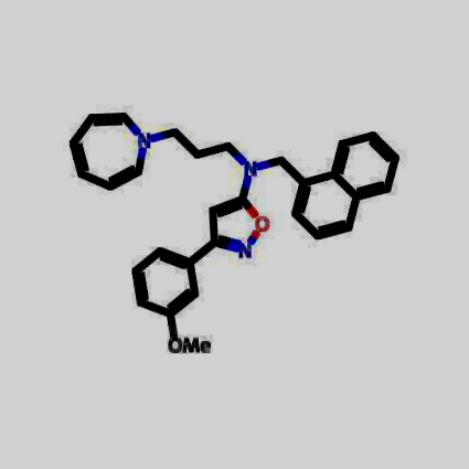 COc1cccc(-c2cc(N(CCCN3C=CC=CC=C3)Cc3cccc4ccccc34)on2)c1